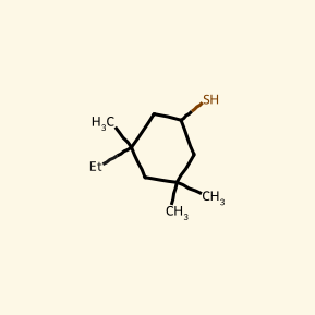 CCC1(C)CC(S)CC(C)(C)C1